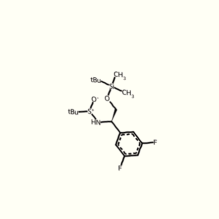 CC(C)(C)[S+]([O-])N[C@@H](CO[Si](C)(C)C(C)(C)C)c1cc(F)cc(F)c1